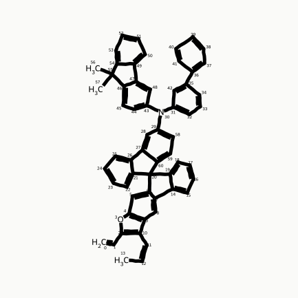 C=Cc1oc2cc3c(cc2c1/C=C\C)-c1ccccc1C31c2ccccc2-c2cc(N(c3cccc(-c4ccccc4)c3)c3ccc4c(c3)-c3ccccc3C4(C)C)ccc21